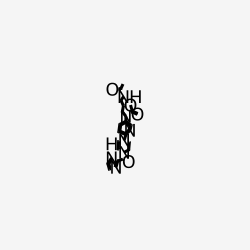 CC(=O)NCC1CN(c2ccc(N3CCN(C(=O)c4ncc[nH]4)CC3)nc2)C(=O)O1